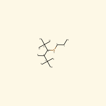 CCCSC(C(C)C(C)(C)C)C(C)(C)C